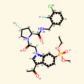 CCOP(=O)(OC)c1ccc2c(C(C)=O)cn(CC(=O)N3C[C@H](F)C[C@H]3C(=O)NCc3cccc(Cl)c3F)c2c1